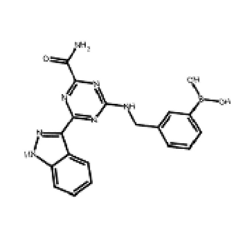 NC(=O)c1nc(NCc2cccc(B(O)O)c2)nc(-c2n[nH]c3ccccc23)n1